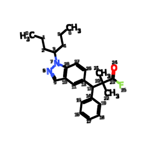 CCCC(CCC)n1ncc2cc(C(c3ccccc3)C(C)(C)C(=O)F)ccc21